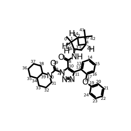 C[C@@H]1[C@H]2C[C@H](C[C@H]1NC(=O)c1c(-c3ccccc3Oc3ccccc3)nnn1C(=O)N1CCCC3CCCCC31)C2(C)C